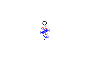 CCc1nsc(NNC(=O)Oc2ccccc2)n1